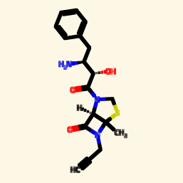 C#CCN1C(=O)[C@H]2N(C(=O)[C@@H](O)[C@@H](N)Cc3ccccc3)CSC21C